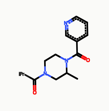 CC(C)C(=O)N1CCN(C(=O)c2cccnc2)C(C)C1